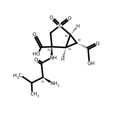 CC(C)[C@H](N)C(=O)N[C@@]1(C(=O)O)CS(=O)(=O)[C@H]2[C@H](C(=O)O)[C@H]21